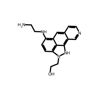 NCCNc1ccc2c3c(c4cnccc4cc13)NN2CCO